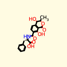 CC1OC(=O)c2c(ccc(C(=O)N[C@@H](Cc3ccccc3)C(=O)O)c2O)C1O